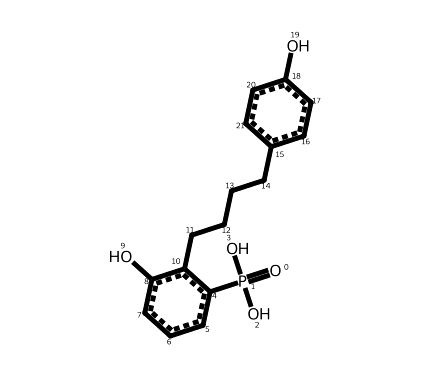 O=P(O)(O)c1cccc(O)c1CCCCc1ccc(O)cc1